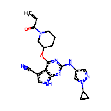 C=CC(=O)N1CCCC(Oc2nc(Nc3cnn(C4CC4)c3)nc3[nH]cc(C#N)c23)C1